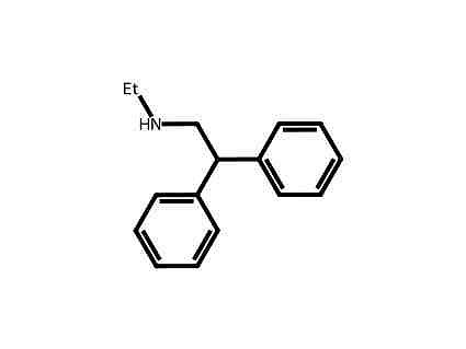 CCNCC(c1ccccc1)c1ccccc1